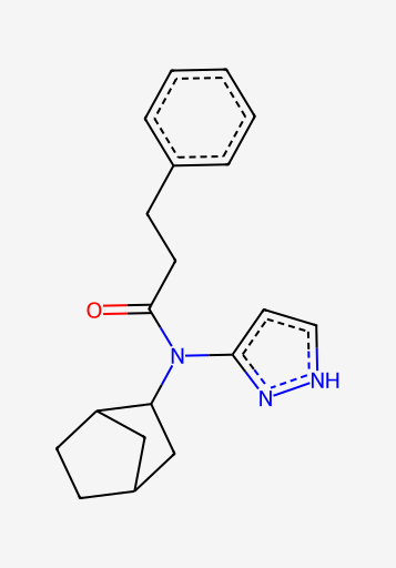 O=C(CCc1ccccc1)N(c1cc[nH]n1)C1CC2CCC1C2